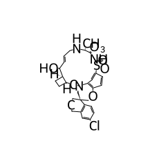 C[C@H]1NC/C=C/[C@H](O)[C@@H]2CC[C@H]2CN2C[C@@]3(CCCc4cc(Cl)ccc43)COc3ccc(cc32)S(=O)(=O)NC1=O